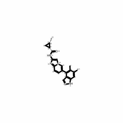 Cc1c(F)cc2[nH]ncc2c1-c1ccc2nc(NC(=O)[C@@H]3C[C@@H]3F)cn2c1